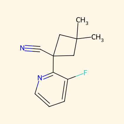 CC1(C)CC(C#N)(c2ncccc2F)C1